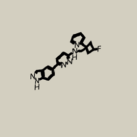 FC1CC(CNc2ccc(-c3ccc4[nH]ncc4c3)nn2)(c2ccccn2)C1